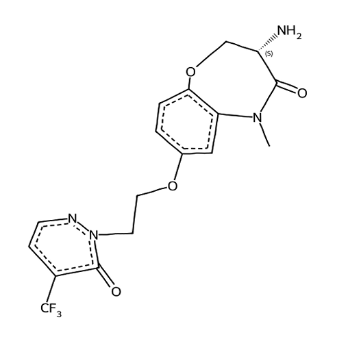 CN1C(=O)[C@@H](N)COc2ccc(OCCn3nccc(C(F)(F)F)c3=O)cc21